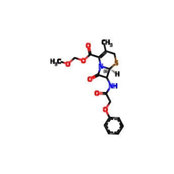 COCOC(=O)C1=C(C)CS[C@H]2C(NC(=O)COc3ccccc3)C(=O)N12